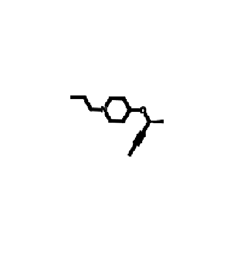 CC#C[C@H](C)OC1CCN(CCC)CC1